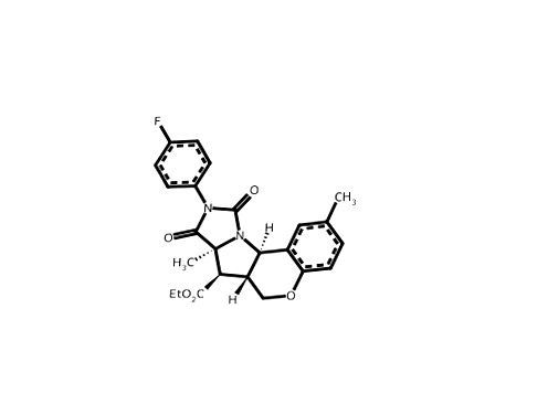 CCOC(=O)[C@@H]1[C@H]2COc3ccc(C)cc3[C@@H]2N2C(=O)N(c3ccc(F)cc3)C(=O)[C@]12C